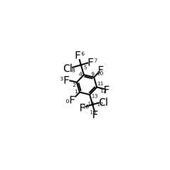 Fc1c(F)c(C(F)(F)Cl)c(F)c(F)c1C(F)(F)Cl